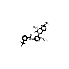 COc1ncc(NC(=O)c2cccc(C(F)(F)F)c2)cc1N1Cc2cnc(C)nc2N(C)C1=O